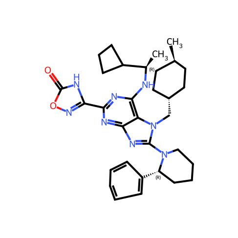 C[C@@H](Nc1nc(-c2noc(=O)[nH]2)nc2nc(N3CCCC[C@@H]3c3ccccc3)n(C[C@H]3CC[C@H](C)CC3)c12)C1CCC1